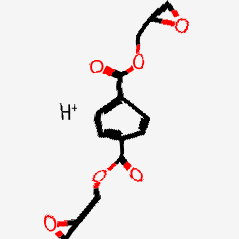 O=C(OCC1CO1)c1ccc(C(=O)OCC2CO2)cc1.[H+]